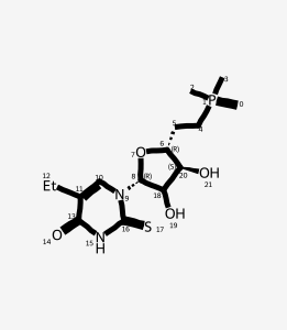 C=P(C)(C)CC[C@H]1O[C@@H](n2cc(CC)c(=O)[nH]c2=S)C(O)[C@@H]1O